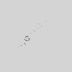 CCCCCCC[C@H]1CC[C@H](CCCOc2ccc(C(=O)OCCCC)cc2)CC1